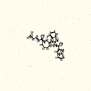 Cc1cccc2nc(NC(=O)c3cn4ccsc4n3)n(C3CCCCN(C(=O)/C=C/CN(C)C)C3)c12